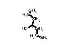 [SiH3][SiH2][SiH2]C(P)[SiH2][SiH2][SiH3]